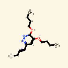 CC/C=C/C1=NNC(OCCCC)C(OCCCC)=C1